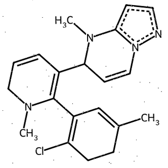 CC1=CC(C2=C(C3C=Cn4nccc4N3C)C=CCN2C)=C(Cl)CC1